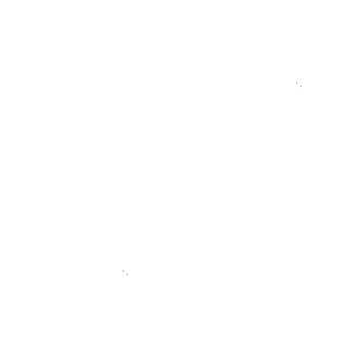 CCN(CC)c1ccc(C(=CC=CC(c2ccc(C)cc2)c2ccc(N(CC)CC)cc2)c2ccc(C)cc2)cc1